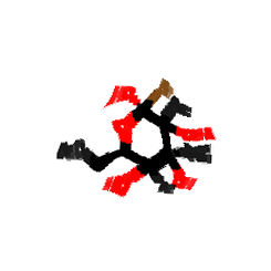 CC(=O)OC[C@H]1O[C@@](O)(Br)[C@@](O)(C(C)=O)[C@](O)(C(C)=O)[C@@]1(O)C(C)=O